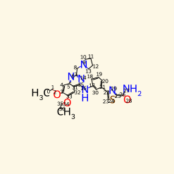 CCOc1cc2nc(CN3CCCC3)nc(Nc3cccc(-c4csc(C(N)=O)n4)c3)c2cc1OCC